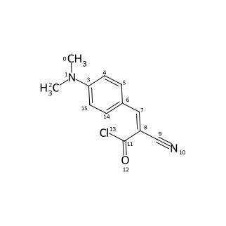 CN(C)c1ccc(C=C(C#N)C(=O)Cl)cc1